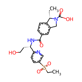 CC[C@H]1c2ccc(C(=O)N[C@@H](CCO)c3ccc(S(=O)(=O)CC)cn3)cc2CN1C(=O)O